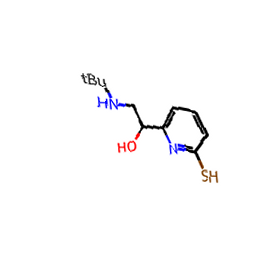 CC(C)(C)NCC(O)c1cccc(S)n1